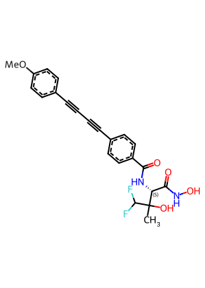 COc1ccc(C#CC#Cc2ccc(C(=O)N[C@H](C(=O)NO)C(C)(O)C(F)F)cc2)cc1